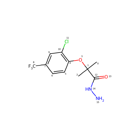 CC(C)(Oc1ccc(C(F)(F)F)cc1Cl)C(=O)NN